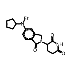 CCN(c1ccc2c(c1)CN(C1CCC(=O)NC1=O)C2=O)C1CCCC1